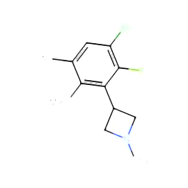 COc1c(C(C)=O)cc(Cl)c(F)c1C1CN(C(C)(C)C)C1